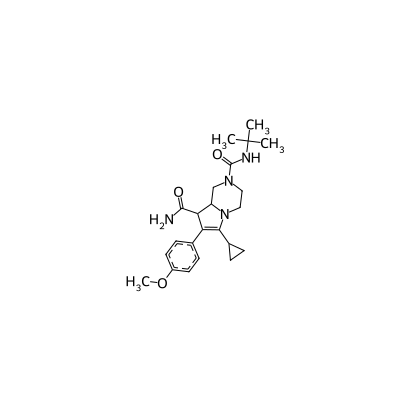 COc1ccc(C2=C(C3CC3)N3CCN(C(=O)NC(C)(C)C)CC3C2C(N)=O)cc1